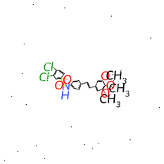 COc1cc(C=Cc2ccc(NS(=O)(=O)c3ccc(Cl)c(Cl)c3)cc2)cc(OC)c1OC